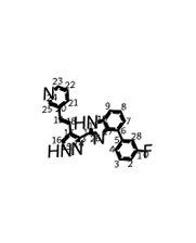 Fc1cccc(-c2cccc3[nH]c(-c4n[nH]cc4/C=C/c4cccnc4)nc23)c1